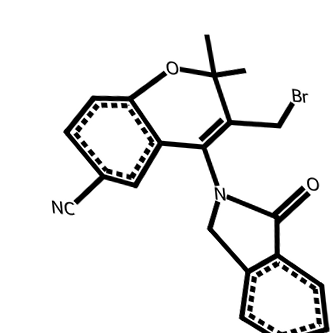 CC1(C)Oc2ccc(C#N)cc2C(N2Cc3ccccc3C2=O)=C1CBr